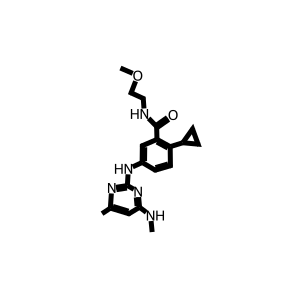 CNc1cc(C)nc(Nc2ccc(C3CC3)c(C(=O)NCCOC)c2)n1